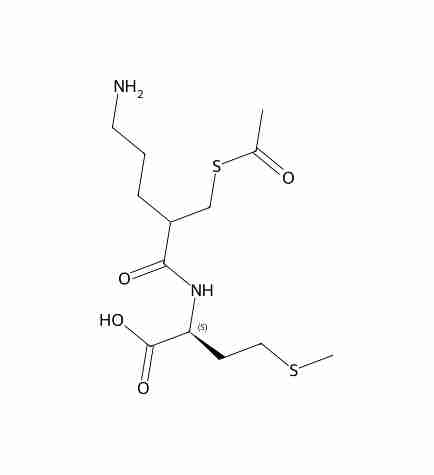 CSCC[C@H](NC(=O)C(CCCN)CSC(C)=O)C(=O)O